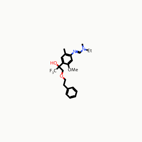 CCN(C)/C=N/c1cc(OC)c(C(O)(COCCc2ccccc2)C(F)(F)F)cc1C